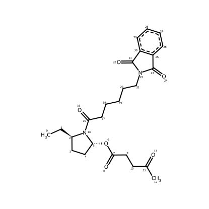 CC[C@@H]1CC[C@@H](OC(=O)CCC(C)=O)N1C(=O)CCCCCN1C(=O)c2ccccc2C1=O